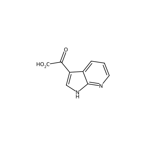 O=C(O)C(=O)c1c[nH]c2ncccc12